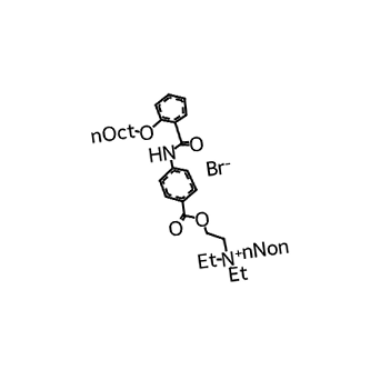 CCCCCCCCC[N+](CC)(CC)CCOC(=O)c1ccc(NC(=O)c2ccccc2OCCCCCCCC)cc1.[Br-]